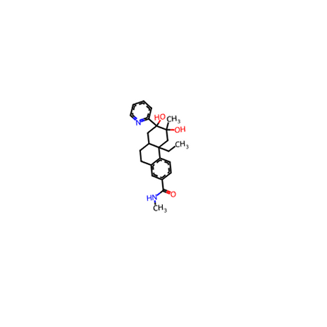 CCC12CC(C)(O)C(O)(c3ccccn3)CC1CCc1cc(C(=O)NC)ccc12